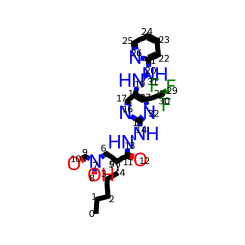 CCCCC[C@H](CN(O)C=O)C(=O)NNc1ncc(NNc2ccccn2)c(C(F)(F)F)n1